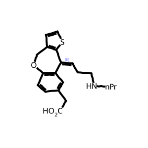 CCCNCC/C=C1\c2cc(CC(=O)O)ccc2OCc2ccsc21